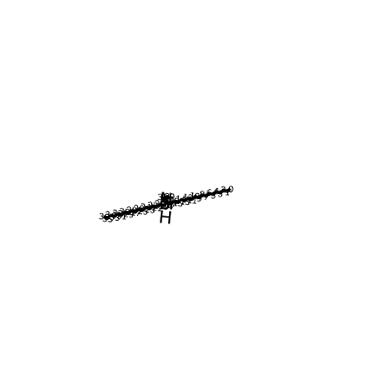 CCCCCCCCCCCCCCCCCC[SiH](CCCCCCCCCCCCCCCCCC)N(C)C